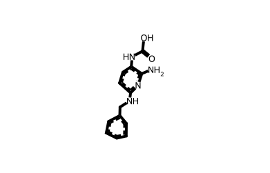 Nc1nc(NCc2ccccc2)ccc1NC(=O)O